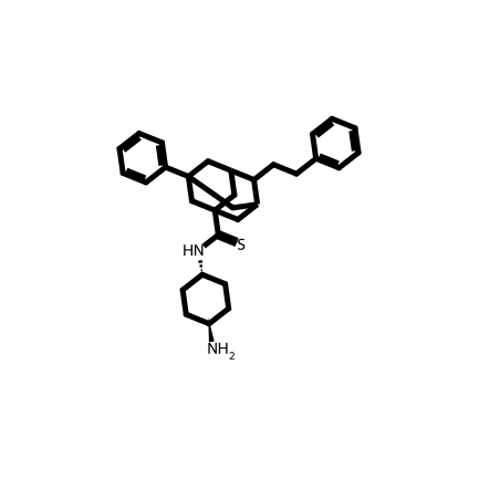 N[C@H]1CC[C@H](NC(=S)C23CC4CC(c5ccccc5)(CC(C2)C4CCc2ccccc2)C3)CC1